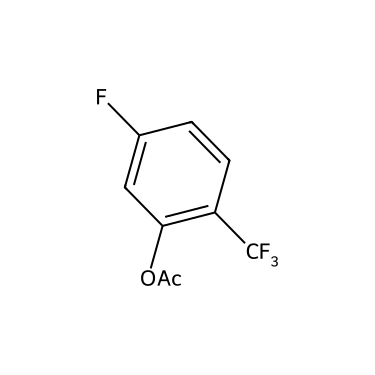 CC(=O)Oc1cc(F)ccc1C(F)(F)F